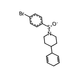 [O-][S+](c1ccc(Br)cc1)N1CCC(C2C=CCC=C2)CC1